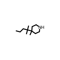 CCCC(C)(C)C1(C)CCNCC1